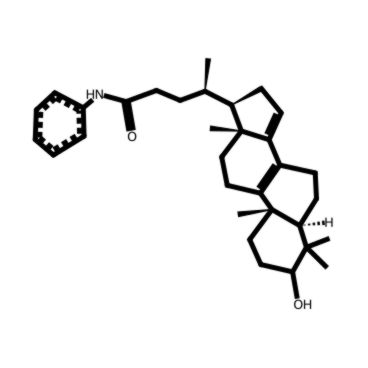 C[C@H](CCC(=O)Nc1ccccc1)[C@H]1CC=C2C3=C(CC[C@@]21C)[C@@]1(C)CCC(O)C(C)(C)[C@@H]1CC3